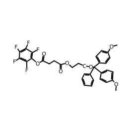 COc1ccc(C(OCCCOC(=O)CCC(=O)Oc2c(F)c(F)c(F)c(F)c2F)(c2ccccc2)c2ccc(OC)cc2)cc1